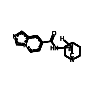 O=C(N[C@H]1CN2CCC1CC2)c1ccn2cncc2c1